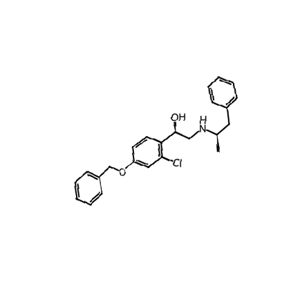 C[C@H](Cc1ccccc1)NC[C@H](O)c1ccc(OCc2ccccc2)cc1Cl